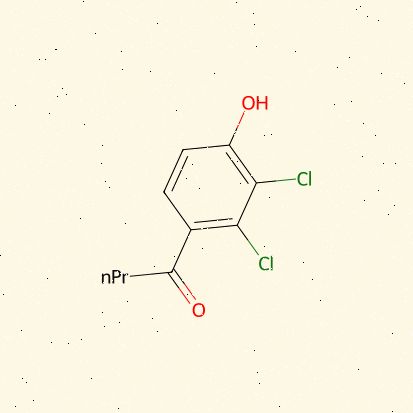 CCCC(=O)c1ccc(O)c(Cl)c1Cl